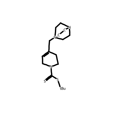 CC(C)(C)SC(=S)N1CC=C(C[N+]23CCN(CC2)CC3)CC1